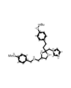 CCCCOc1ccc(CCC2(Cn3ccnc3)OCC(COCc3ccc(OC)cc3)O2)cc1